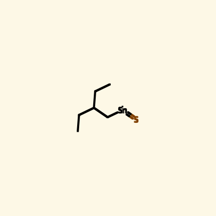 CCC(CC)[CH2][Sn]=[S]